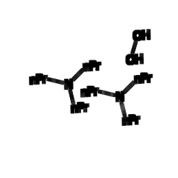 CCCN(CCC)CCC.CCCN(CCC)CCC.OO